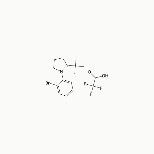 CC(C)(C)N1CCCN1c1ccccc1Br.O=C(O)C(F)(F)F